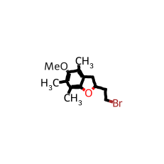 COc1c(C)c(C)c2c(c1C)CC(CCBr)O2